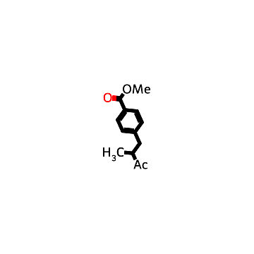 COC(=O)c1ccc(CC(C)C(C)=O)cc1